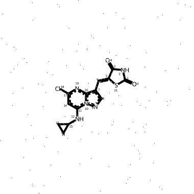 O=C1NC(=O)/C(=C/c2cnn3c(NC4CC4)cc(Cl)nc23)S1